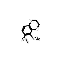 CNc1c(N)ccc2c1OCCO2